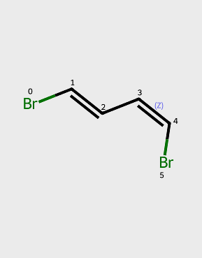 BrC=C/C=C\Br